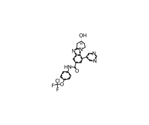 O=C(Nc1ccc(OC(F)(F)Cl)cc1)c1cc(-c2cncnc2)c2c(c1)nc1n2CC[C@@H](O)C1